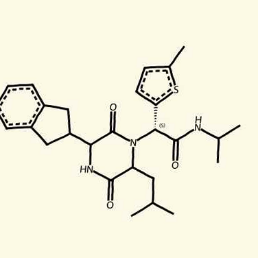 Cc1ccc([C@H](C(=O)NC(C)C)N2C(=O)C(C3Cc4ccccc4C3)NC(=O)C2CC(C)C)s1